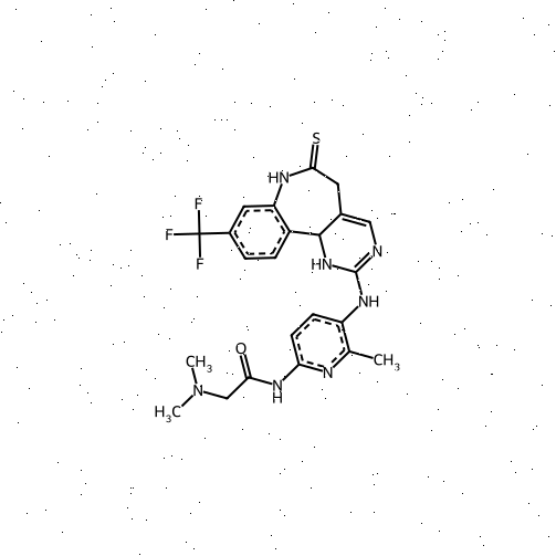 Cc1nc(NC(=O)CN(C)C)ccc1NC1=NC=C2CC(=S)Nc3cc(C(F)(F)F)ccc3C2N1